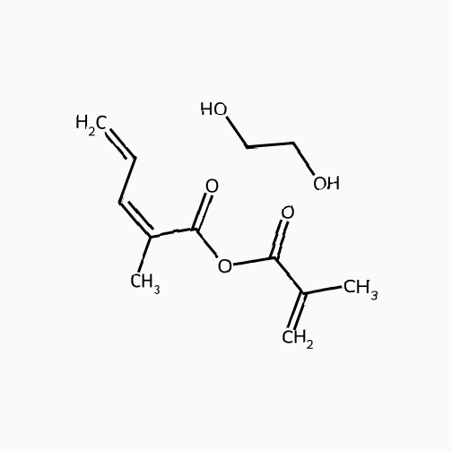 C=CC=C(C)C(=O)OC(=O)C(=C)C.OCCO